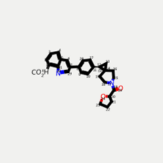 O=C(O)c1cccc2cc(-c3ccc([C@H]4CC45CCN(C(=O)C4CCCO4)CC5)cc3)cnc12